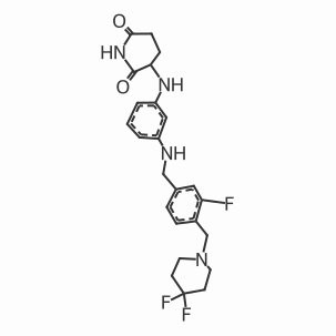 O=C1CCC(Nc2cccc(NCc3ccc(CN4CCC(F)(F)CC4)c(F)c3)c2)C(=O)N1